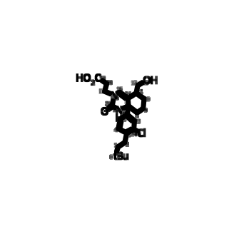 CC(C)(C)CCc1ccc(C23CCCC(CO)C2=CN(CCC(=O)O)C(=O)N3)cc1Cl